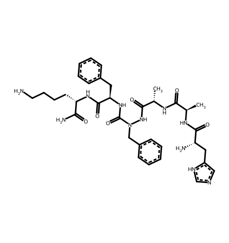 C[C@H](NC(=O)[C@@H](C)NC(=O)[C@@H](N)Cc1cnc[nH]1)C(=O)NN(Cc1ccccc1)C(=O)N[C@H](Cc1ccccc1)C(=O)N[C@@H](CCCCN)C(N)=O